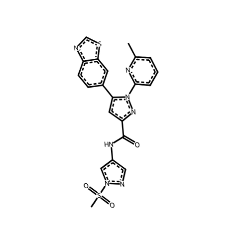 Cc1cccc(-n2nc(C(=O)Nc3cnn(S(C)(=O)=O)c3)cc2-c2ccc3ncsc3c2)n1